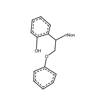 CCCCCCCCCC(COc1ccccc1)c1ccccc1O